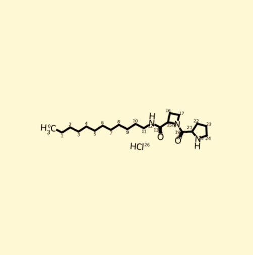 CCCCCCCCCCCCNC(=O)C1CCN1C(=O)C1CCCN1.Cl